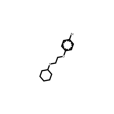 CC(=O)c1ccc(OCCSC2CCCCC2)cc1